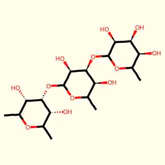 CC1OC(C)[C@H](O)[C@H](OC2OC(C)[C@H](O)[C@H](OC3OC(C)[C@H](O)[C@H](O)[C@@H]3O)[C@@H]2O)[C@@H]1O